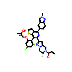 C=CC(=O)N1Cc2cc(-c3nc(-c4ccc5nn(C)cc5c4)c4ccsc4c3-c3c(F)cc(F)cc3OC[C@@H](C)O)nn2C[C@H]1C